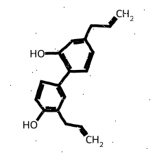 C=CCc1ccc(-c2ccc(O)c(CC=C)c2)c(O)c1